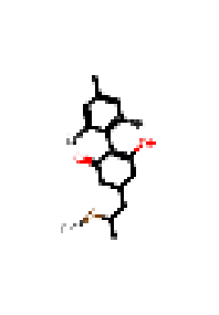 CCCSC(C)CC1CC(=O)C(c2c(CC)cc(C)cc2CC)=C(O)C1